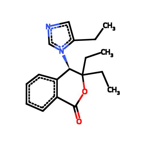 CCc1cncn1[C@H]1c2ccccc2C(=O)OC1(CC)CC